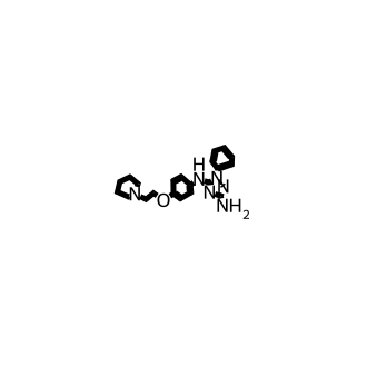 Nc1nc(Nc2ccc(OCCN3CCCCC3)cc2)n(-c2ccccc2)n1